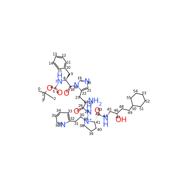 CC(C)(C)OC(=O)N[C@@H](Cc1ccccc1)C(=O)n1cncc1C[C@H](N)C(=O)N[N+]1(CCc2ccccn2)CCC[C@H]1C(=O)NCC(O)CCC1CCCCC1